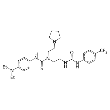 CCN(CC)c1ccc(NC(=S)N(CCNC(=O)Nc2ccc(C(F)(F)F)cc2)CCN2CCCC2)cc1